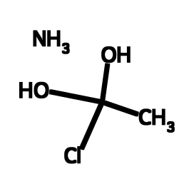 CC(O)(O)Cl.N